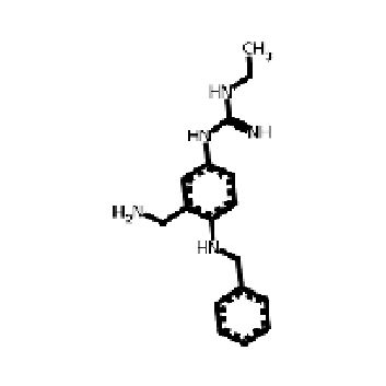 CCNC(=N)Nc1ccc(NCc2ccccc2)c(CN)c1